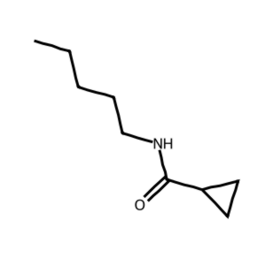 CCCCCNC(=O)C1CC1